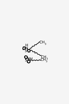 CCCCCCCCCCc1ccc2c(c1CCCCCCCCCC)Nc1ccccc1S2.CCCCCCCCCc1cccc2c1Nc1ccccc1S2